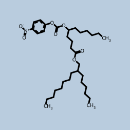 CCCCCCCCC(CCCCCC)COC(=O)CCCC(CCCCCC)OC(=O)Oc1ccc([N+](=O)[O-])cc1